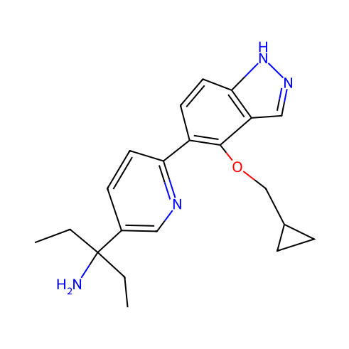 CCC(N)(CC)c1ccc(-c2ccc3[nH]ncc3c2OCC2CC2)nc1